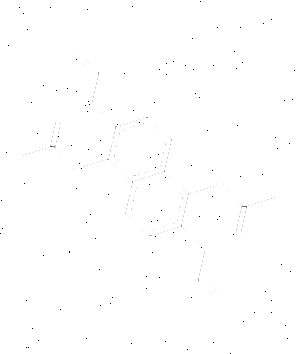 C=CCc1ccc2c(OC(C)=O)c(CC=C)ccc2c1OC(C)=O